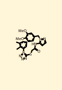 COc1ccc(Cn2nccc2NC(=O)CSc2nnnn2-c2cccc(C)c2C)cc1OC